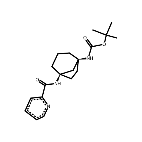 CC(C)(C)OC(=O)N[C@@]12CCC[C@@](NC(=O)c3ccccn3)(CC1)C2